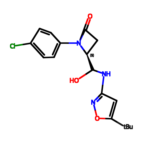 CC(C)(C)c1cc(NC(O)[C@@H]2CC(=O)N2c2ccc(Cl)cc2)no1